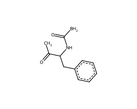 BC(=O)NC(Cc1ccccc1)C(C)=O